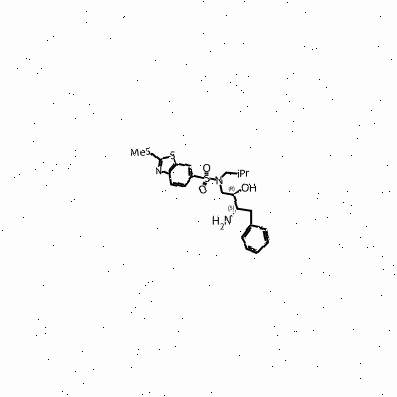 CSc1nc2ccc(S(=O)(=O)N(CC(C)C)C[C@@H](O)[C@@H](N)Cc3ccccc3)cc2s1